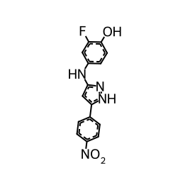 O=[N+]([O-])c1ccc(-c2cc(Nc3ccc(O)c(F)c3)n[nH]2)cc1